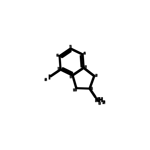 NC1Cc2cccc(I)c2C1